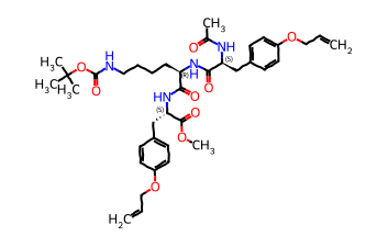 C=CCOc1ccc(C[C@H](NC(C)=O)C(=O)N[C@H](CCCCNC(=O)OC(C)(C)C)C(=O)N[C@@H](Cc2ccc(OCC=C)cc2)C(=O)OC)cc1